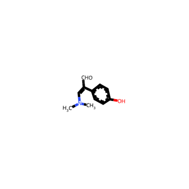 CN(C)/C=C(/C=O)c1ccc(O)cc1